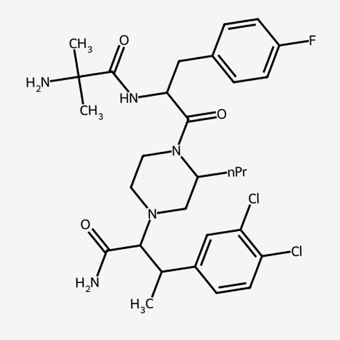 CCCC1CN(C(C(N)=O)C(C)c2ccc(Cl)c(Cl)c2)CCN1C(=O)C(Cc1ccc(F)cc1)NC(=O)C(C)(C)N